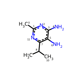 Cc1nc(N)c(N)c(C(C)C)n1